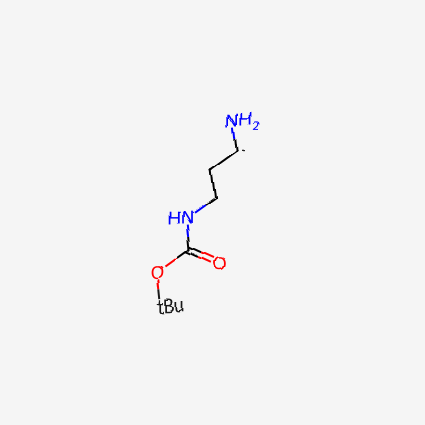 CC(C)(C)OC(=O)NCC[CH]N